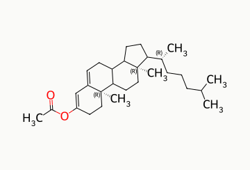 CC(=O)OC1=CC2=CCC3C4CCC([C@H](C)CCCC(C)C)[C@@]4(C)CCC3[C@@]2(C)CC1